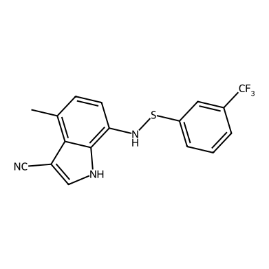 Cc1ccc(NSc2cccc(C(F)(F)F)c2)c2[nH]cc(C#N)c12